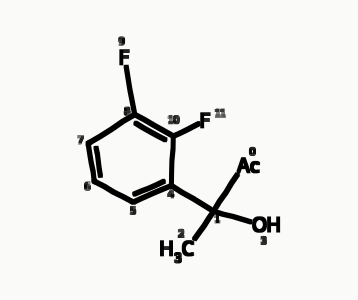 CC(=O)C(C)(O)c1cccc(F)c1F